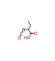 CCC(N=C=O)C(=O)O